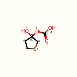 O=C(O)O[C@@]1(O)CCSC1